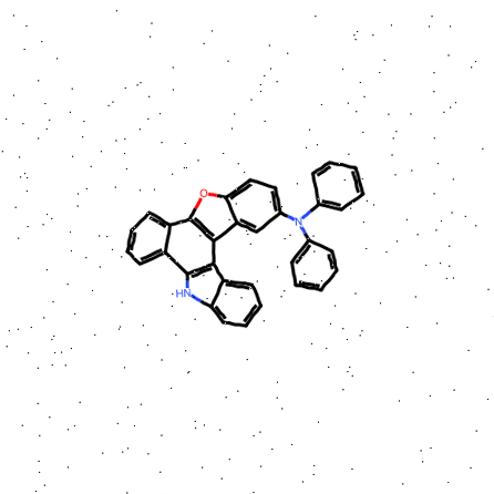 c1ccc(N(c2ccccc2)c2ccc3oc4c5ccccc5c5[nH]c6ccccc6c5c4c3c2)cc1